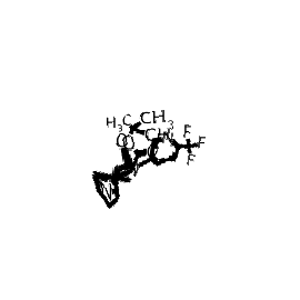 CC(C)(C)OC(=O)N1CC2CCC(C1)C21CC(=O)N(c2ccc(C(F)(F)F)nc2)C1